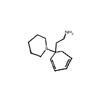 NCCC1(N2CCCCC2)C=CC=CC1